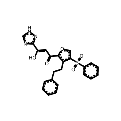 O=C(C=C(O)c1nc[nH]n1)c1occ(S(=O)(=O)c2ccccc2)c1CCc1ccccc1